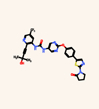 CC(C)(O)C#Cc1ncc(C(F)(F)F)cc1NC(=O)Nc1cnc(Oc2ccc(-c3cnc(N4CCCC4=O)s3)cc2)nc1